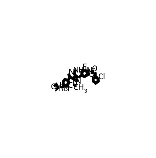 CC(C)n1nc(-c2ccc(NS(=O)(=O)Cc3ccccc3Cl)c(F)c2)c2c(N)ncc(-c3ccc(NC4COC4)cc3)c21